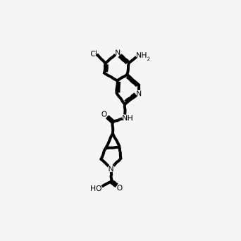 Nc1nc(Cl)cc2cc(NC(=O)C3C4CN(C(=O)O)CC43)ncc12